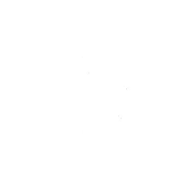 O=C(CNC(=O)c1cccc(C(F)(F)F)c1)NC1CCCN1CCO